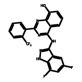 Oc1cccc2c(Nc3n[nH]c4c(F)cc(F)cc34)nc(-c3ccccc3C(F)(F)F)nc12